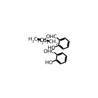 C=C.C=C.O=Cc1ccccc1O.O=Cc1ccccc1O